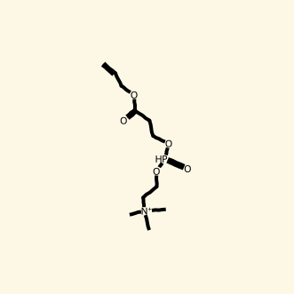 C=CCOC(=O)CCO[PH](=O)OCC[N+](C)(C)C